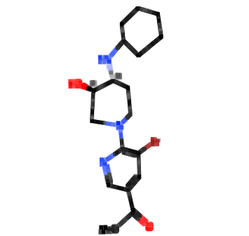 COC(=O)c1cnc(N2CC[C@@H](NC3CCCCC3)[C@H](O)C2)c(Br)c1